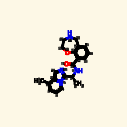 Cc1cccn2c([C@H](C)NC(=O)c3cccc4c3OCCNC4)ncc12